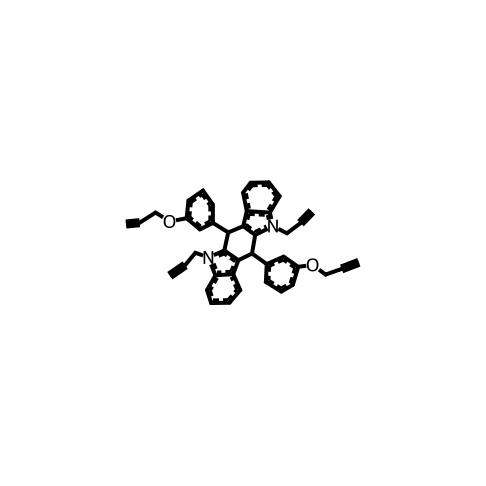 C#CCOc1cccc(C2c3c(n(CC#C)c4ccccc34)C(c3cccc(OCC#C)c3)c3c2n(CC#C)c2ccccc32)c1